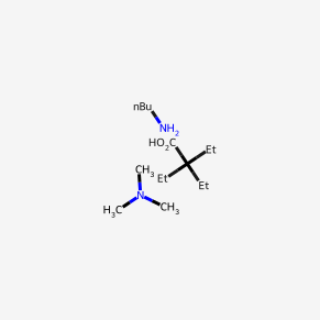 CCC(CC)(CC)C(=O)O.CCCCN.CN(C)C